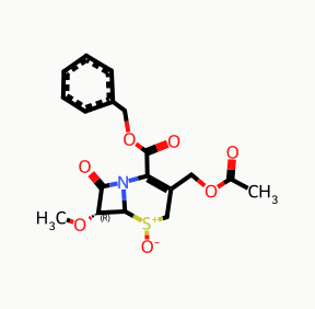 CO[C@@H]1C(=O)N2C(C(=O)OCc3ccccc3)=C(COC(C)=O)C[S+]([O-])C12